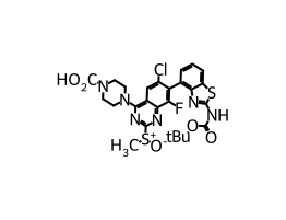 C[S+]([O-])c1nc(N2CCN(C(=O)O)CC2)c2cc(Cl)c(-c3cccc4sc(NC(=O)OC(C)(C)C)nc34)c(F)c2n1